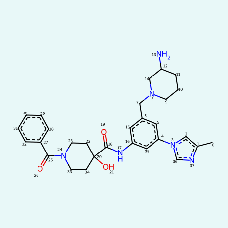 Cc1cn(-c2cc(CN3CCCC(N)C3)cc(NC(=O)C3(O)CCN(C(=O)c4ccccc4)CC3)c2)cn1